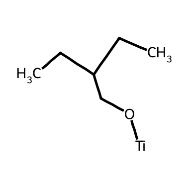 CCC(CC)C[O][Ti]